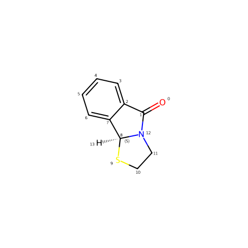 O=C1c2ccccc2[C@@H]2SCCN12